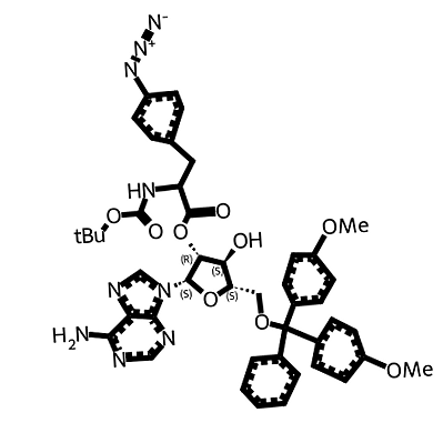 COc1ccc(C(OC[C@@H]2O[C@H](n3cnc4c(N)ncnc43)[C@H](OC(=O)C(Cc3ccc(N=[N+]=[N-])cc3)NC(=O)OC(C)(C)C)[C@H]2O)(c2ccccc2)c2ccc(OC)cc2)cc1